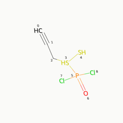 C#CC[SH](S)P(=O)(Cl)Cl